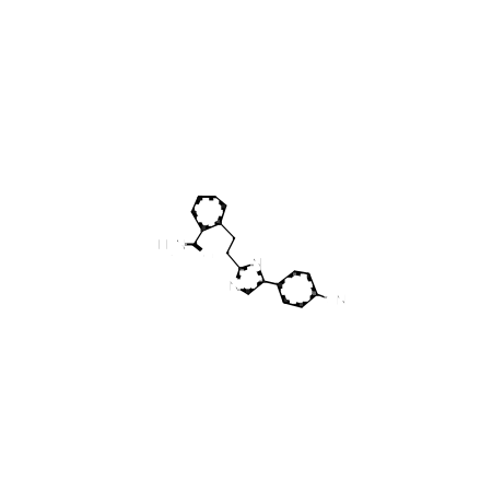 N#Cc1ccc(-c2c[nH]c([CH]Cc3ccccc3C(N)=O)n2)cc1